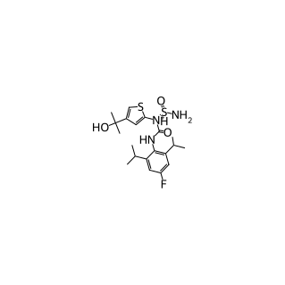 CC(C)c1cc(F)cc(C(C)C)c1NC(=O)/[N+](c1cc(C(C)(C)O)cs1)=[SH](\N)=O